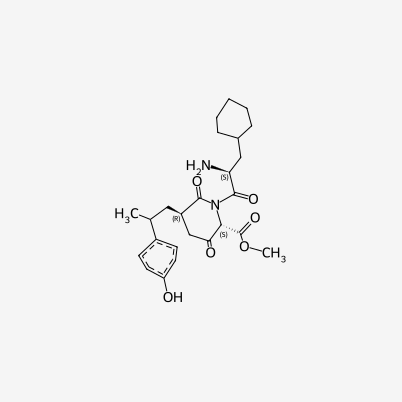 COC(=O)[C@@H]1C(=O)C[C@@H](CC(C)c2ccc(O)cc2)C(=O)N1C(=O)[C@@H](N)CC1CCCCC1